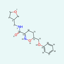 O=C(NCC1CCOC1)C1=NOC(COc2ccccc2)CC1